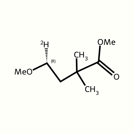 [2H][C@H](CC(C)(C)C(=O)OC)OC